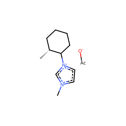 CC(=O)[O-].C[C@@H]1CCCCC1[n+]1ccn(C)c1